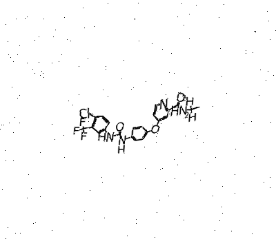 [2H]C([2H])(C)NC(=O)c1cc(Oc2ccc(NC(=O)Nc3ccc(Cl)c(C(F)(F)F)c3)cc2)ccn1